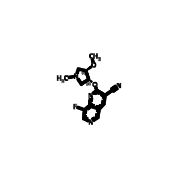 CO[C@@H]1CN(C)C[C@H]1Oc1nc2c(F)cncc2cc1C#N